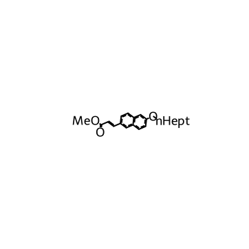 CCCCCCCOc1ccc2cc(C=CC(=O)OC)ccc2c1